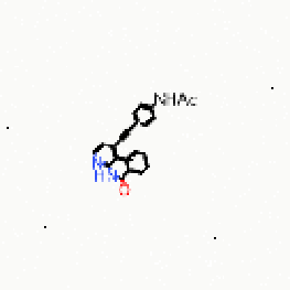 CC(=O)Nc1ccc(C#Cc2ccnc3[nH]c(=O)c4ccccc4c23)cc1